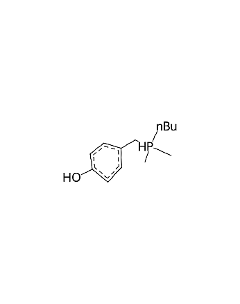 CCCC[PH](C)(C)Cc1ccc(O)cc1